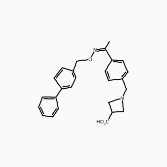 CC(=NOCc1ccc(-c2ccccc2)cc1)c1ccc(CN2CC(C(=O)O)C2)cc1